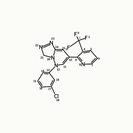 FC(F)(F)c1cccnc1C1=CN(c2cccc(Cl)c2)N2CN=NC2=C1